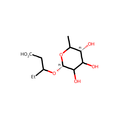 CCC(CC(=O)O)O[C@@H]1OC(C)[C@H](O)C(O)C1O